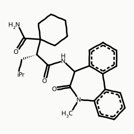 CC(C)C[C@@H](C(=O)NC1C(=O)N(C)c2ccccc2-c2ccccc21)C1(C(N)=O)CCCCC1